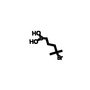 CC(C)(Br)CCCB(O)O